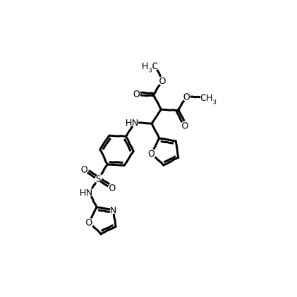 COC(=O)C(C(=O)OC)C(Nc1ccc(S(=O)(=O)Nc2ncco2)cc1)c1ccco1